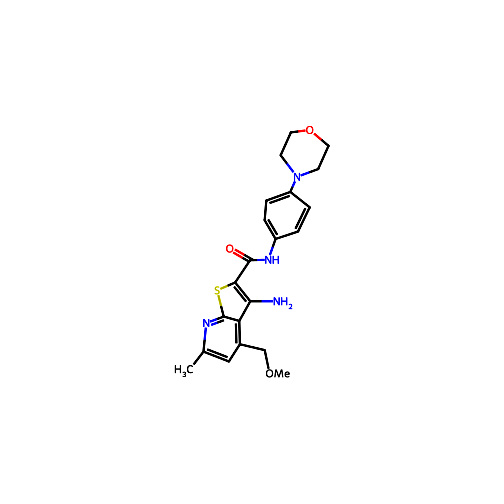 COCc1cc(C)nc2sc(C(=O)Nc3ccc(N4CCOCC4)cc3)c(N)c12